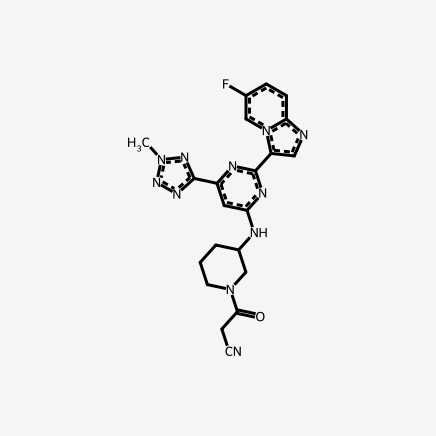 Cn1nnc(-c2cc(NC3CCCN(C(=O)CC#N)C3)nc(-c3cnc4ccc(F)cn34)n2)n1